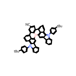 CC(C)(C)c1ccc(-n2c3ccccc3c3cc4c5c(cccc5c32)-c2cc(C#N)cc3c2B4c2cc4c5ccccc5n(-c5ccc(C(C)(C)C)cc5)c4c4cccc-3c24)cc1